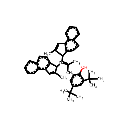 CC(C)(C)c1ccc(O)c(C(C)(C)C)c1.CC1=Cc2c(ccc3ccccc23)[CH]1[Zr](=[C](C)C)[CH]1C(C)=Cc2c1ccc1ccccc21